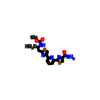 CC(C)(C)OC(=O)NC(Cc1nc(-c2cccc(-c3nc(C(N)=O)cs3)n2)cs1)C(=O)O